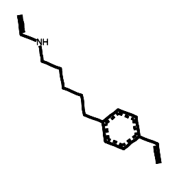 C=CNCCCCCc1ccc(C=C)cc1